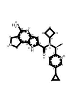 C[C@@H](c1ccc(C2CC2)cn1)N(C(=O)c1cc2nc(N)c3c(c2[nH]1)COC3)C1CCC1